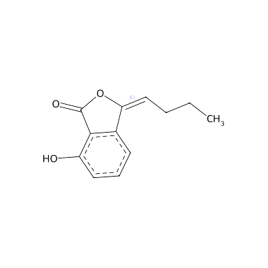 CCC/C=C1/OC(=O)c2c(O)cccc21